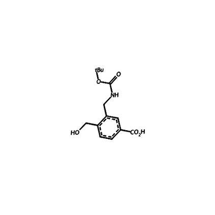 CC(C)(C)OC(=O)NCc1cc(C(=O)O)ccc1CO